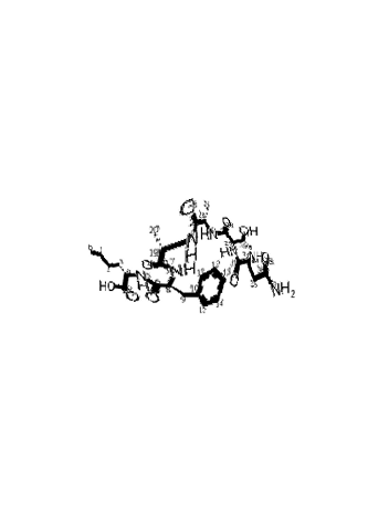 CCCC[C@H](NC(=O)[C@H](Cc1ccccc1)NC(=O)[C@H](C)NC(=O)[C@H](C)NC(=O)[C@@H](NC(=O)[C@@H](N)CC(N)=O)[C@@H](C)O)C(=O)O